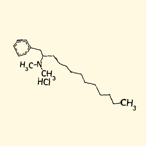 CCCCCCCCCCCC(Cc1ccccc1)N(C)C.Cl